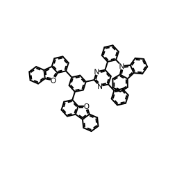 c1ccc(-c2cc(-c3ccccc3-n3c4ccccc4c4ccccc43)nc(-c3cc(-c4cccc5c4oc4ccccc45)cc(-c4cccc5c4oc4ccccc45)c3)n2)cc1